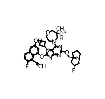 C#Cc1c(F)ccc2cc(O)cc(Oc3nc4nc(OC[C@@]56CCCN5C[C@H](F)C6)nc(N5CCOC[C@](C)(O)C5)c4n3C3CCC3)c12